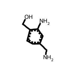 NCc1ccc(CO)c(N)c1